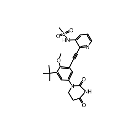 COc1c(C#Cc2ncccc2NS(C)(=O)=O)cc(N2CCC(=O)NC2=O)cc1C(C)(C)C